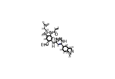 C=CC(=O)Nc1cc(NC(=N)/C=C(\NN)c2ccc3c(cnn3C)c2)c(OCC)cc1N(C)CCN(C)C